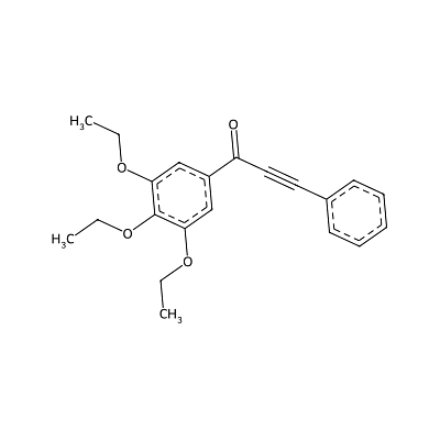 CCOc1cc(C(=O)C#Cc2ccccc2)cc(OCC)c1OCC